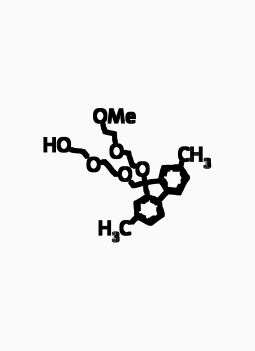 COCCOCCOC1(COCCOCCO)c2cc(C)ccc2-c2ccc(C)cc21